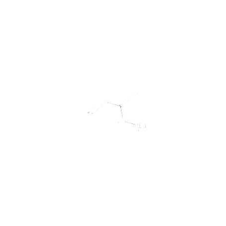 CCC(C)OC(=O)OC(C)(C)C